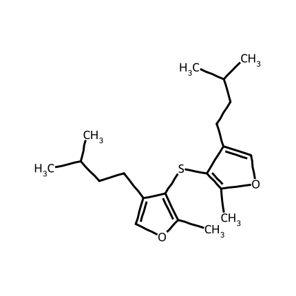 Cc1occ(CCC(C)C)c1Sc1c(CCC(C)C)coc1C